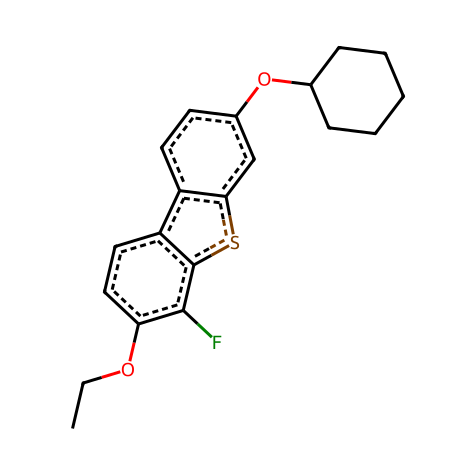 CCOc1ccc2c(sc3cc(OC4CCCCC4)ccc32)c1F